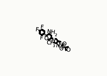 N[C@H]1C[C@@H](N2Cc3cn(S(=O)(=O)C4COC4)nc3C2)[C@@H](C(F)(F)F)O[C@@H]1c1cc(F)c(F)cc1F